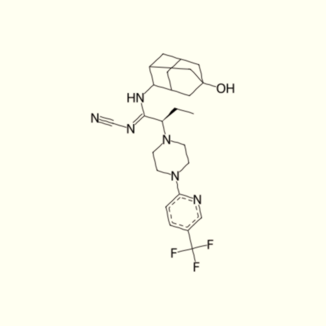 CC[C@H](/C(=N/C#N)NC1C2CC3CC1CC(O)(C3)C2)N1CCN(c2ccc(C(F)(F)F)cn2)CC1